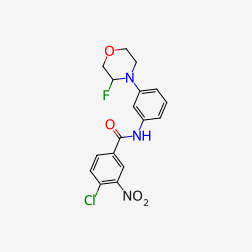 O=C(Nc1cccc(N2CCOCC2F)c1)c1ccc(Cl)c([N+](=O)[O-])c1